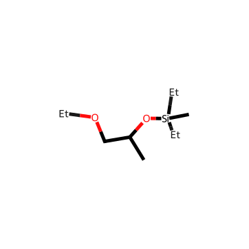 CCOCC(C)O[Si](C)(CC)CC